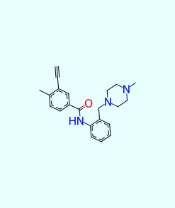 C#Cc1cc(C(=O)Nc2ccccc2CN2CCN(C)CC2)ccc1C